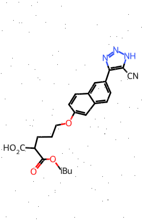 CCC(C)OC(=O)C(CCCOc1ccc2cc(-c3nn[nH]c3C#N)ccc2c1)C(=O)O